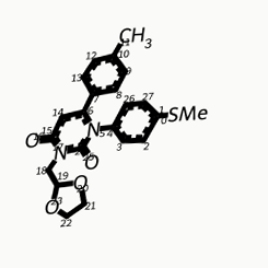 CSc1ccc(-n2c(-c3ccc(C)cc3)cc(=O)n(CC3OCCO3)c2=O)cc1